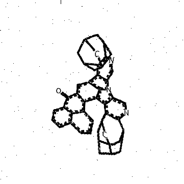 O=c1c2cccc3cccc(c32)c2c1cc1c3c4c(ncc3n3c5cnc6c(c5c2c13)C1CC2CC3CC6CC32C1)C1CC2CC(C1)CC4C2